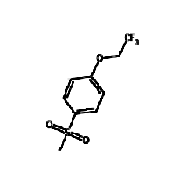 CS(=O)(=O)c1c[c]c(OCC(F)(F)F)cc1